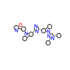 c1ccc(-c2cc(-n3c4ccccc4c4cc(-c5cncc(-c6ccc7c8ccccc8n(-c8ccc9oc%10cccnc%10c9c8)c7c6)n5)ccc43)nc(-c3ccccc3)n2)cc1